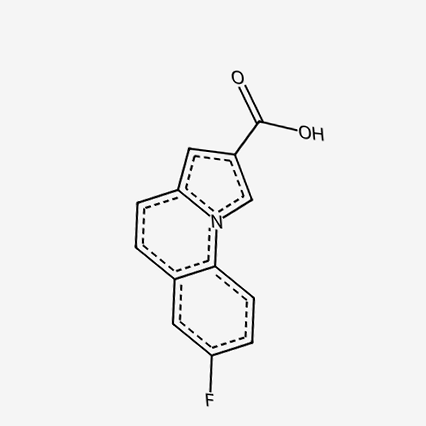 O=C(O)c1cc2ccc3cc(F)ccc3n2c1